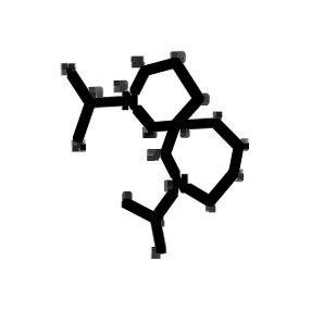 CC(C)N1CCCCC2(CCCN(C(C)C)C2)C1